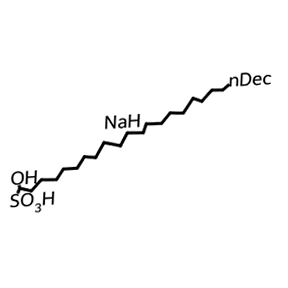 CCCCCCCCCCCCCCCCCCCCCCCCCCCCCC(O)S(=O)(=O)O.[NaH]